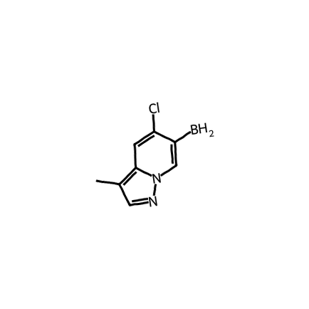 Bc1cn2ncc(C)c2cc1Cl